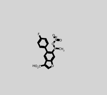 CN(O[SH](=O)=O)c1cc2occ(C(=O)O)c2cc1-c1ccc(F)cc1